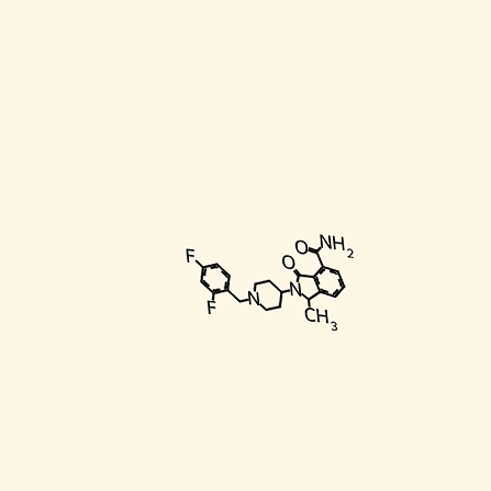 CC1c2cccc(C(N)=O)c2C(=O)N1C1CCN(Cc2ccc(F)cc2F)CC1